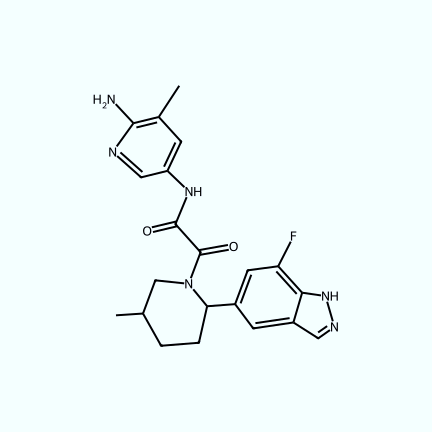 Cc1cc(NC(=O)C(=O)N2CC(C)CCC2c2cc(F)c3[nH]ncc3c2)cnc1N